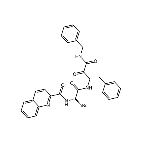 CC[C@H](C)[C@H](NC(=O)c1ccc2ccccc2n1)C(=O)N[C@@H](Cc1ccccc1)C(=O)C(=O)NCc1ccccc1